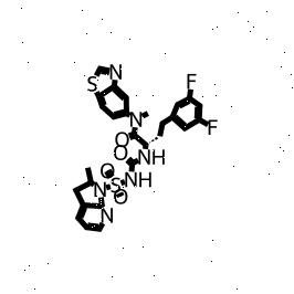 CC1Cc2cccnc2N1S(=O)(=O)NC(=O)N[C@@H](CCc1cc(F)cc(F)c1)C(=O)N(C)c1ccc2scnc2c1